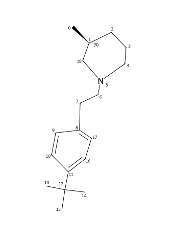 C[C@H]1CCCN(CCc2ccc(C(C)(C)C)cc2)C1